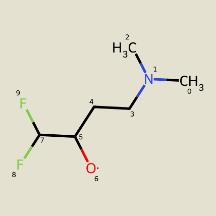 CN(C)CCC([O])C(F)F